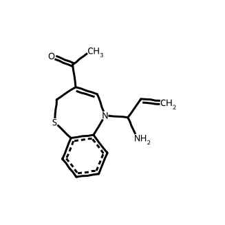 C=CC(N)N1C=C(C(C)=O)CSc2ccccc21